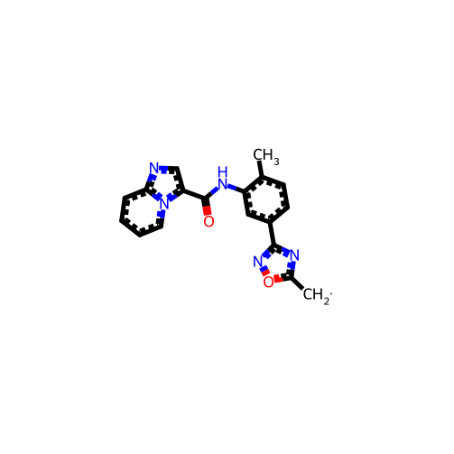 [CH2]c1nc(-c2ccc(C)c(NC(=O)c3cnc4ccccn34)c2)no1